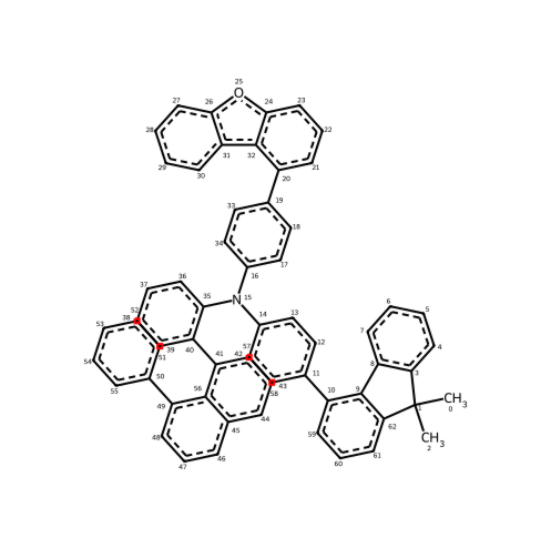 CC1(C)c2ccccc2-c2c(-c3ccc(N(c4ccc(-c5cccc6oc7ccccc7c56)cc4)c4ccccc4-c4cccc5cccc(-c6ccccc6)c45)cc3)cccc21